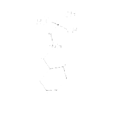 CC(C)(O)CNCC1CCCCC1